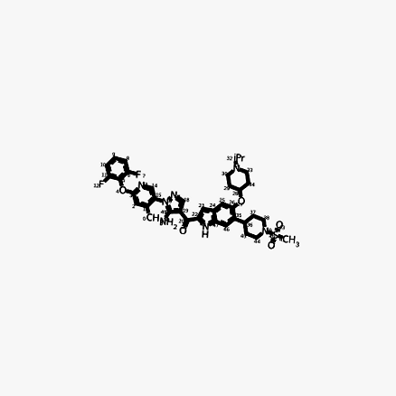 Cc1cc(Oc2c(F)cccc2F)ncc1-n1ncc(C(=O)c2cc3cc(OC4CCN(C(C)C)CC4)c(C4CCN(S(C)(=O)=O)CC4)cc3[nH]2)c1N